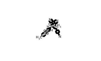 CN1CCN(S(=O)(=O)N2C[C@@H]3[C@H](C2)[C@H]3N2C(=O)C(c3ccncc3)(c3ccncc3)N(C)C2=CC(=O)c2ccc(C#N)cc2)CC1